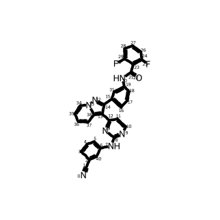 N#Cc1cccc(Nc2nccc(-c3c(-c4cccc(NC(=O)c5c(F)cccc5F)c4)nn4ccccc34)n2)c1